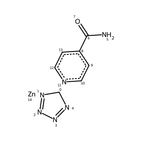 C1N=NN=N1.NC(=O)c1ccncc1.[Zn]